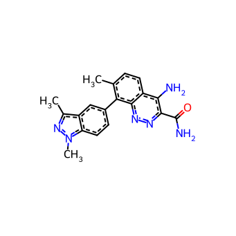 Cc1ccc2c(N)c(C(N)=O)nnc2c1-c1ccc2c(c1)c(C)nn2C